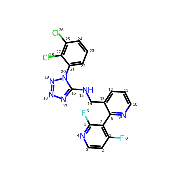 Fc1ccnc(F)c1-c1ncccc1CNc1nnnn1-c1cccc(Cl)c1Cl